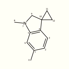 Cc1ccc2c(c1)N(C)CC21CC1